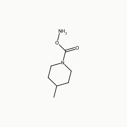 CC1CCN(C(=O)ON)CC1